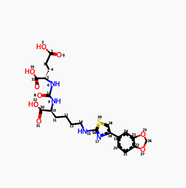 O=C(O)CC[C@H](NC(=O)N[C@@H](CCCCNc1nc(-c2ccc3c(c2)OCO3)cs1)C(=O)O)C(=O)O